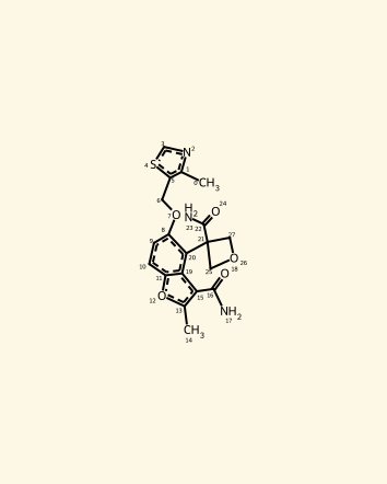 Cc1ncsc1COc1ccc2oc(C)c(C(N)=O)c2c1C1(C(N)=O)COC1